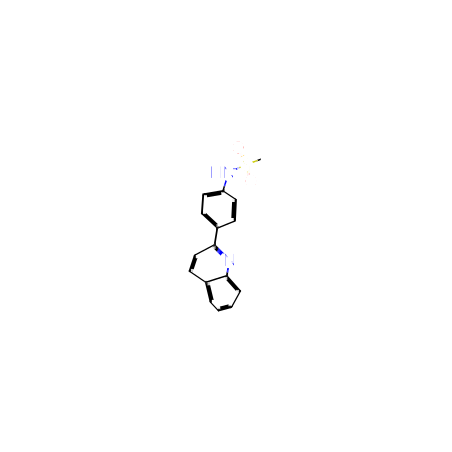 CS(=O)(=O)Nc1ccc(-c2ccc3ccccc3n2)cc1